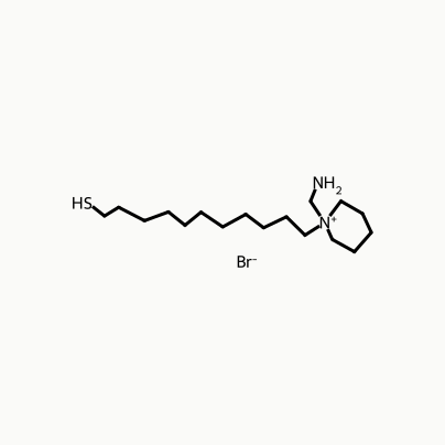 NC[N+]1(CCCCCCCCCCCS)CCCCC1.[Br-]